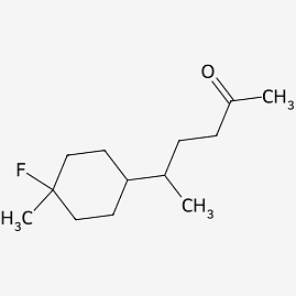 CC(=O)CCC(C)C1CCC(C)(F)CC1